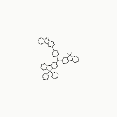 CC1(C)c2cc(N(c3ccc(-c4ccc5oc6ccccc6c5c4)cc3)c3ccc4c(c3)-c3ccccc3C4(C3=CC=CCC3)c3ccccc3)ccc2C2C=CC=CC21